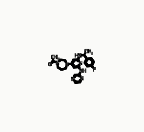 CC(=O)N1CCCN(c2cc(Nc3cnccn3)nc(N[C@@H](C)c3ccc(F)cc3)c2)CC1